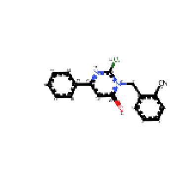 N#Cc1ccccc1Cn1c(Cl)nc(-c2ccccc2)cc1=O